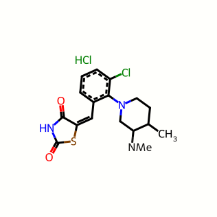 CNC1CN(c2c(Cl)cccc2/C=C2/SC(=O)NC2=O)CCC1C.Cl